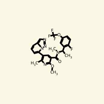 COc1nc(C)c(-c2cccc3cnnn23)cc1C(=O)N(C)C(C)c1cc(OC(F)(F)F)ccc1F